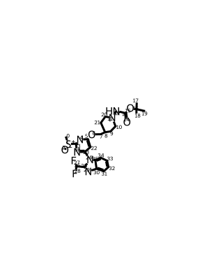 C[S+]([O-])c1nc(OCC2CCN(NC(=O)OC(C)(C)C)CC2)cc(-n2c(C(F)F)nc3ccccc32)n1